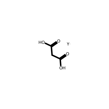 O=C(O)CC(=O)O.[Y]